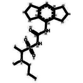 CCCN(C)C(C)S(=O)(=O)NC(=O)Nc1c2c(cc3c1CCC3)CCC2